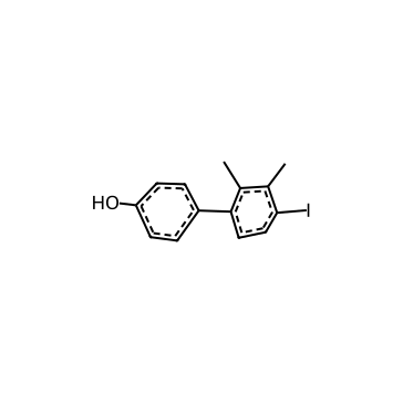 Cc1c(I)ccc(-c2ccc(O)cc2)c1C